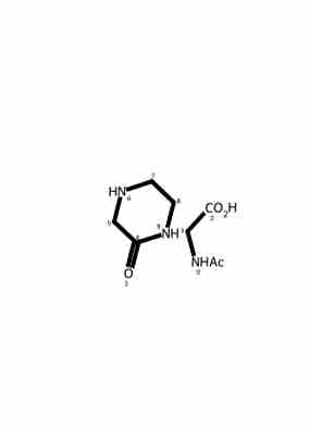 CC(=O)NCC(=O)O.O=C1CNCCN1